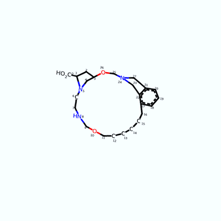 O=C(O)C1CC2CN1CCNCOCCCCCCc1cccc3c1CN(CO2)C3